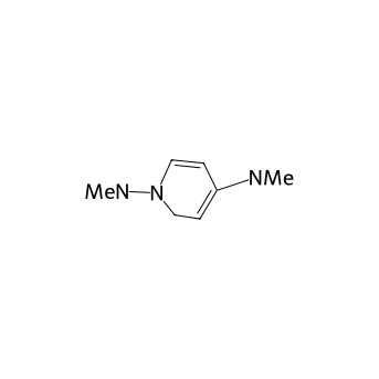 CNC1=CCN(NC)C=C1